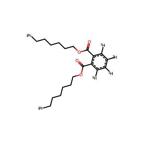 [2H]c1c([2H])c([2H])c(C(=O)OCCCCCCC(C)C)c(C(=O)OCCCCCCC(C)C)c1[2H]